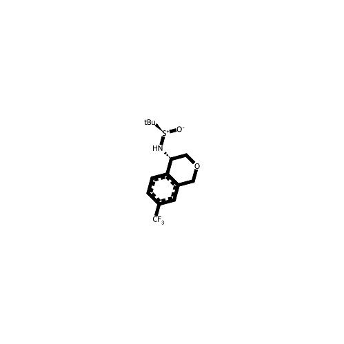 CC(C)(C)[S@@+]([O-])N[C@@H]1COCc2cc(C(F)(F)F)ccc21